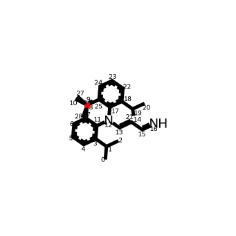 CC(C)c1cccc(C(C)C)c1N(C=CC=N)c1c(C(C)C)cccc1C(C)C